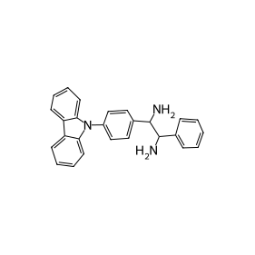 NC(c1ccccc1)C(N)c1ccc(-n2c3ccccc3c3ccccc32)cc1